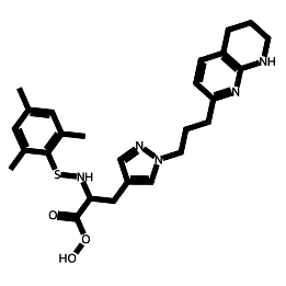 Cc1cc(C)c(SNC(Cc2cnn(CCCc3ccc4c(n3)NCCC4)c2)C(=O)OO)c(C)c1